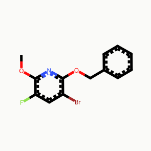 COc1nc(OCc2ccccc2)c(Br)cc1F